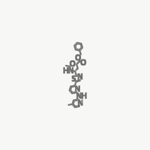 CC(=O)N[C@@H](CCC(=O)OCc1ccccc1)c1ncc(-c2cccc(Nc3cc(C)ccn3)n2)s1